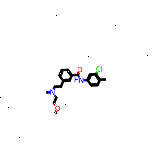 COCCN(C)CCc1cccc(C(=O)Nc2ccc(C)c(Cl)c2)c1